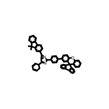 CC1(C)c2ccccc2-c2ccc(C3C4C(C5C=CC=CC5)=NC(c5ccc(-c6ccc7c(c6)C6(c8ccccc8O7)c7ccccc7-c7ccccc76)cc5)N43)cc21